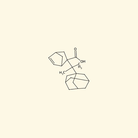 CC(C)(C12CC3CC(CC(C3)C1)C2)C1(C(=O)O)CC2C=CC1C2